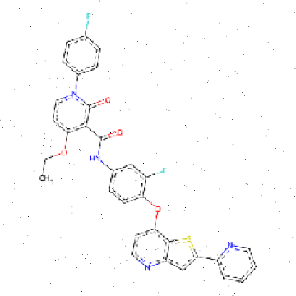 CCOc1ccn(-c2ccc(F)cc2)c(=O)c1C(=O)Nc1ccc(Oc2ccnc3cc(-c4ccccn4)sc23)c(F)c1